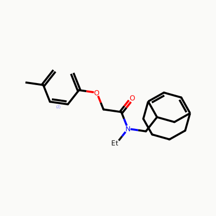 C=C(C)/C=C\C(=C)OCC(=O)N(CC)CC1CC2=CC=C1CCCC2